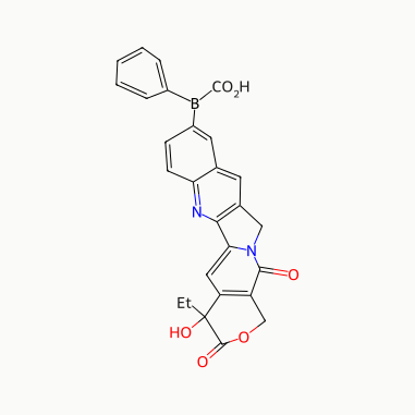 CCC1(O)C(=O)OCc2c1cc1n(c2=O)Cc2cc3cc(B(C(=O)O)c4ccccc4)ccc3nc2-1